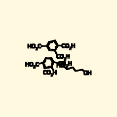 O=C(O)c1ccc(C(=O)O)c(C(=O)O)c1.O=C(O)c1ccc(C(=O)O)c(C(=O)O)c1.OCCCCO